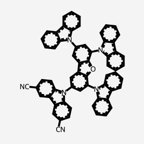 N#Cc1ccc2c(c1)c1cc(C#N)ccc1n2-c1cc(-n2c3ccccc3c3ccccc32)c2oc3c(-n4c5ccccc5c5ccccc54)cc(-n4c5ccccc5c5ccccc54)cc3c2c1